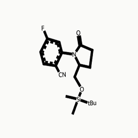 CC(C)(C)[Si](C)(C)OCC1CCC(=O)N1c1cc(F)ccc1C#N